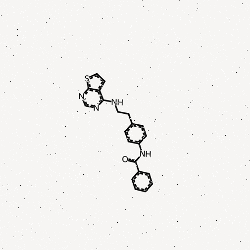 O=C(Nc1ccc(CCNc2ncnc3sccc23)cc1)c1ccccc1